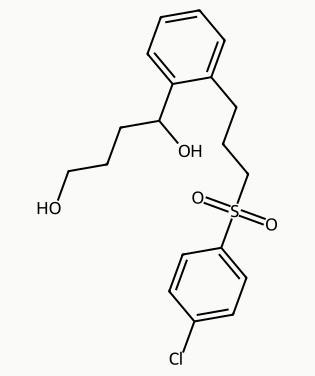 O=S(=O)(CCCc1ccccc1C(O)CCCO)c1ccc(Cl)cc1